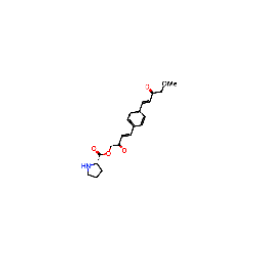 COCC(=O)/C=C/c1ccc(/C=C/C(=O)COC(=O)[C@@H]2CCCN2)cc1